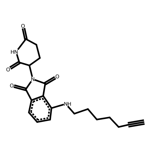 C#CCCCCCNc1cccc2c1C(=O)N(C1CCC(=O)NC1=O)C2=O